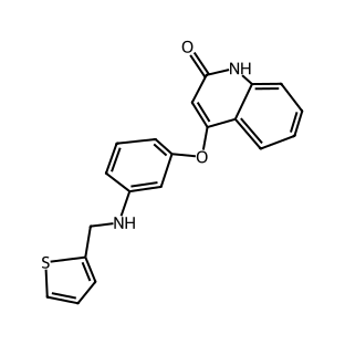 O=c1cc(Oc2cccc(NCc3cccs3)c2)c2ccccc2[nH]1